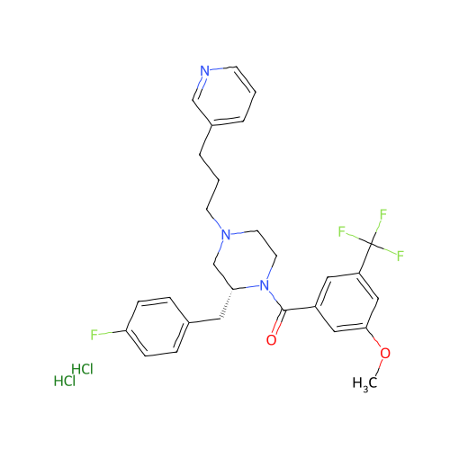 COc1cc(C(=O)N2CCN(CCCc3cccnc3)C[C@H]2Cc2ccc(F)cc2)cc(C(F)(F)F)c1.Cl.Cl